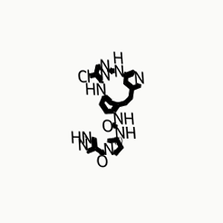 O=C(Nc1ccc2cc1CCc1cncc(c1)Nc1ncc(Cl)c(n1)N2)N[C@H]1CCN(C(=O)c2cn[nH]c2)C1